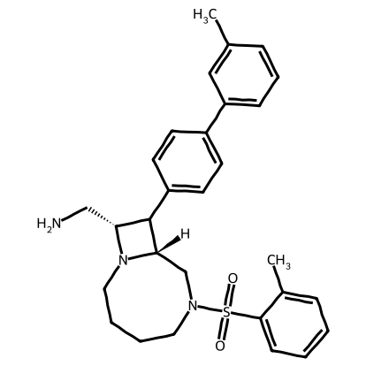 Cc1cccc(-c2ccc(C3[C@@H](CN)N4CCCCN(S(=O)(=O)c5ccccc5C)C[C@@H]34)cc2)c1